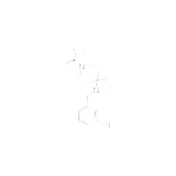 O=C(O)N1CCC2(CCCN2Cc2cccc(O)c2)CC1